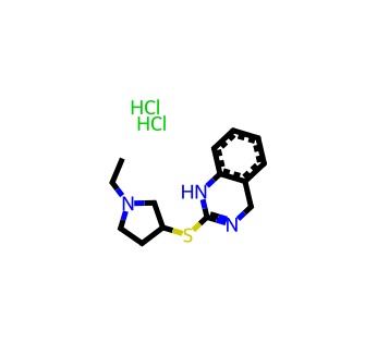 CCN1CCC(SC2=NCc3ccccc3N2)C1.Cl.Cl